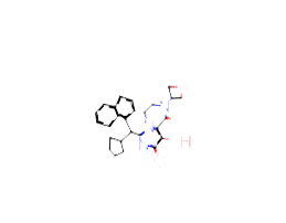 O=C1c2c(O)c(=O)nc(C(c3cccc4ccccc34)C3CCCC3)n2CCN1C1COC1